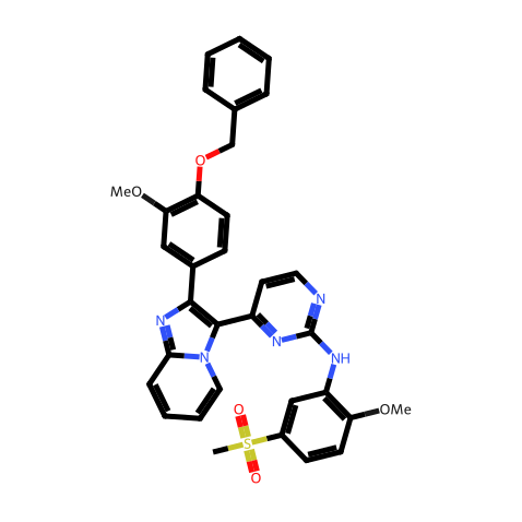 COc1ccc(S(C)(=O)=O)cc1Nc1nccc(-c2c(-c3ccc(OCc4ccccc4)c(OC)c3)nc3ccccn23)n1